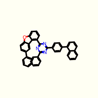 c1ccc(-c2ccc3oc4cccc(-c5nc(-c6ccccc6)nc(-c6ccc(-c7cccc8ccccc78)cc6)n5)c4c3c2)cc1